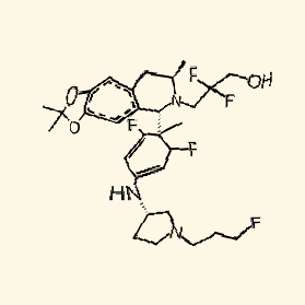 C[C@@H]1Cc2cc3c(cc2[C@@H](C2(C)C(F)=CC(N[C@H]4CCN(CCCF)C4)=CC2F)N1CC(F)(F)CO)OC(C)(C)O3